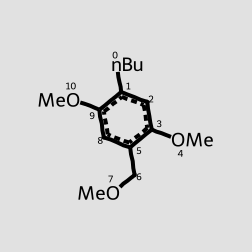 CCCCc1cc(OC)c(COC)cc1OC